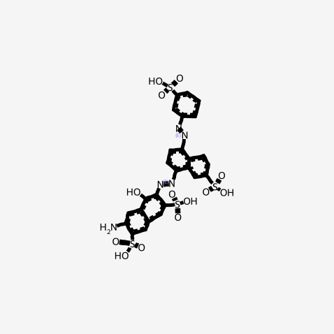 Nc1cc2c(O)c(/N=N/c3ccc(/N=N/c4cccc(S(=O)(=O)O)c4)c4ccc(S(=O)(=O)O)cc34)c(S(=O)(=O)O)cc2cc1S(=O)(=O)O